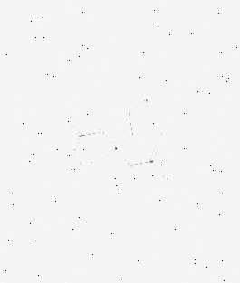 CCCCCC(CCC(C)C)(NC(N)=S)NC(N)=S